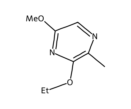 CCOc1nc(OC)cnc1C